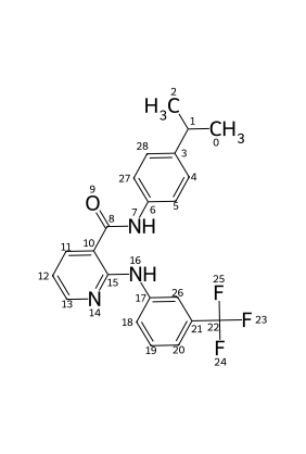 CC(C)c1ccc(NC(=O)c2cccnc2Nc2cccc(C(F)(F)F)c2)cc1